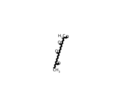 CCCCC(C=O)CCCCCCC(C=O)CCCCCC(C=O)CCCCC(C)C=O